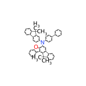 CC1(C)c2ccccc2-c2ccc(N(c3ccc(-c4ccccc4)cc3)c3cc4c(c5c3oc3ccccc35)C(C)(C)c3ccccc3-4)cc21